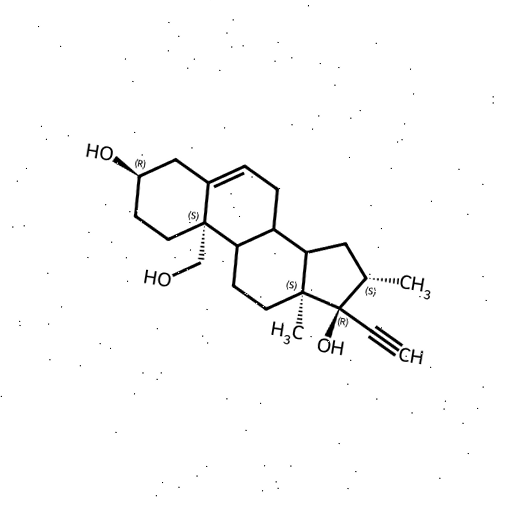 C#C[C@@]1(O)[C@@H](C)CC2C3CC=C4C[C@H](O)CC[C@]4(CO)C3CC[C@@]21C